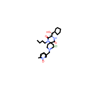 CCCCN1C(=O)[C@@H]([C@H](O)C2CCCCC2)NC(=O)C12CCN(Cc1ccc(C)[n+]([O-])c1)CC2.Cl